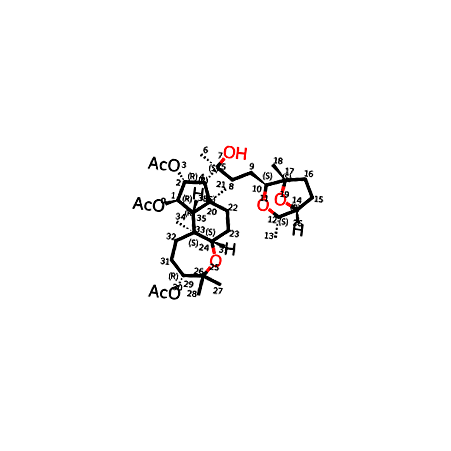 CC(=O)O[C@H]1[C@H](OC(C)=O)[C@H]([C@@](C)(O)CC[C@@H]2O[C@@H](C)[C@H]3CC[C@]2(C)O3)[C@@]2(C)CC[C@@H]3OC(C)(C)[C@H](OC(C)=O)CC[C@@]3(C)[C@H]12